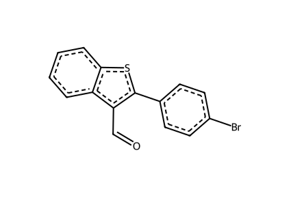 O=Cc1c(-c2ccc(Br)cc2)sc2ccccc12